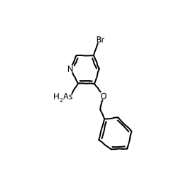 [AsH2]c1ncc(Br)cc1OCc1ccccc1